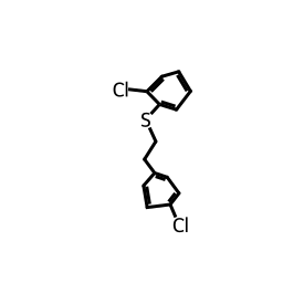 Clc1ccc(CCSc2ccccc2Cl)cc1